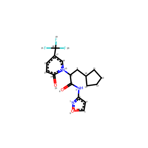 O=C(Nc1ccon1)C(CC1CCCC1)n1cc(C(F)(F)F)ccc1=O